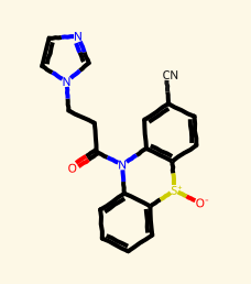 N#Cc1ccc2c(c1)N(C(=O)CCn1ccnc1)c1ccccc1[S+]2[O-]